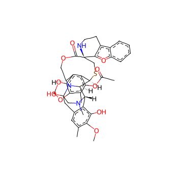 COc1c(C)cc2c(c1O)[C@H]1[C@@H]3[C@@H]4SC[C@]5(NCCc6c5oc5ccccc65)C(=O)OC[C@@H](c5c6c(c(C)c(OC(C)=O)c54)OCO6)N3C(O)(C2)CN1C